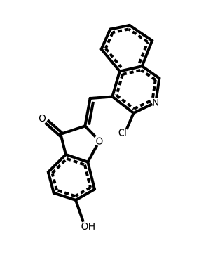 O=C1C(=Cc2c(Cl)ncc3ccccc23)Oc2cc(O)ccc21